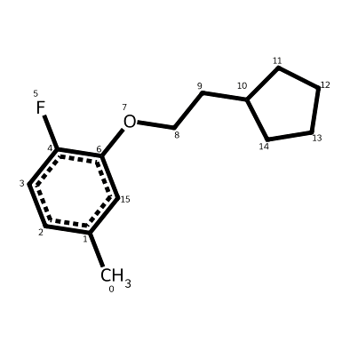 Cc1ccc(F)c(OCCC2CCCC2)c1